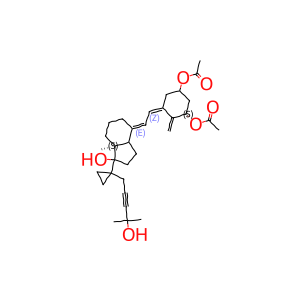 C=C1/C(=C\C=C2/CCC[C@@]3(C)C2CCC3(O)C2(CC#CC(C)(C)O)CC2)CC(OC(C)=O)C[C@@H]1OC(C)=O